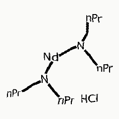 CCC[N](CCC)[Nd][N](CCC)CCC.Cl